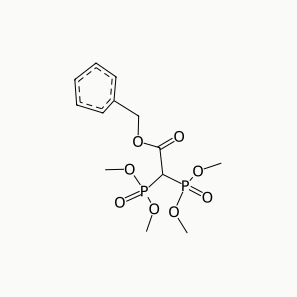 COP(=O)(OC)C(C(=O)OCc1ccccc1)P(=O)(OC)OC